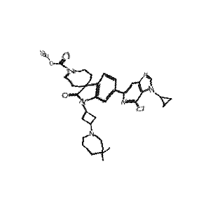 CC1(C)CCCN(C2CC(N3C(=O)C4(CCN(C(=O)OC(C)(C)C)CC4)c4ccc(-c5cc6ncn(C7CC7)c6c(Cl)n5)cc43)C2)C1